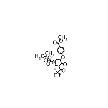 COC(=O)c1ccc(OC2CN(C(=O)OC(C)(C)C)CC(C(=O)C(F)(F)F)C2=O)cc1